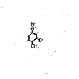 Cc1ccc([N+]#N)cc1Br